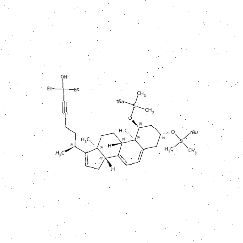 CCC(O)(C#CCC[C@H](C)C1=CC[C@H]2C3=CC=C4C[C@@H](O[Si](C)(C)C(C)(C)C)C[C@H](O[Si](C)(C)C(C)(C)C)[C@]4(C)[C@H]3CC[C@]12C)CC